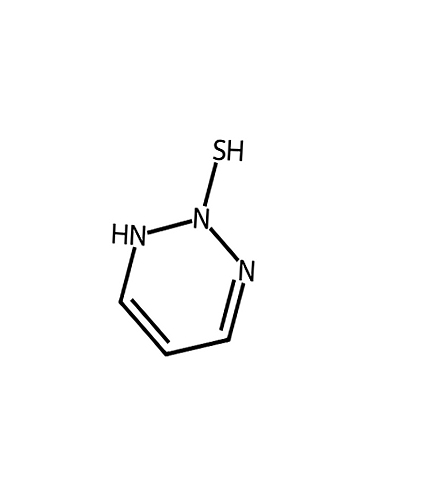 SN1N=CC=CN1